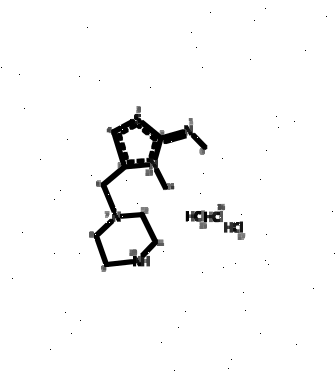 CN=c1scc(CN2CCNCC2)n1C.Cl.Cl.Cl